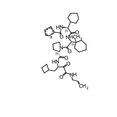 C=CCNC(=O)C(=O)C(CC1CCC1)NC(=O)[C@@H]1CCCN1C(=O)[C@@H](NC(=O)[C@@H](NC(=O)c1cccs1)C1CCCCC1)C1(C)CCCCC1